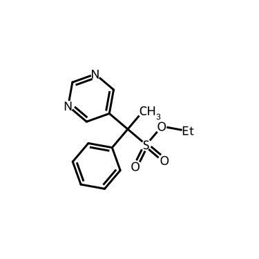 CCOS(=O)(=O)C(C)(c1ccccc1)c1cncnc1